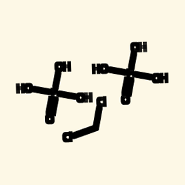 ClCCl.O=P(O)(O)O.O=P(O)(O)O